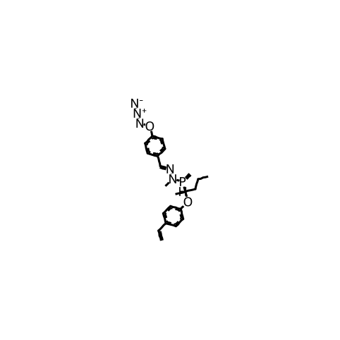 C=Cc1ccc(OC(C)(CCC)[PH](=C)N(C)/N=C/c2ccc(ON=[N+]=[N-])cc2)cc1